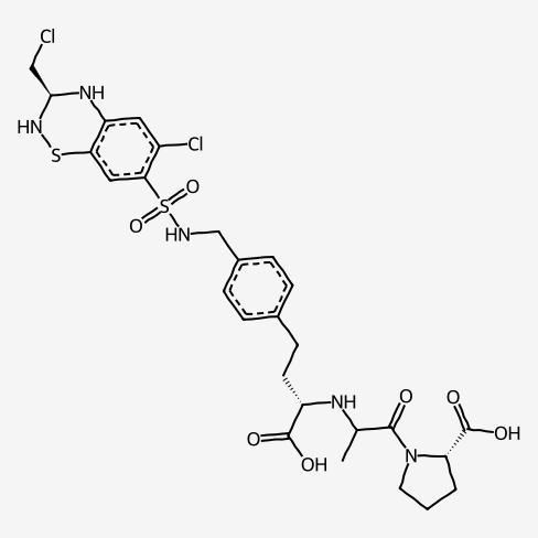 CC(N[C@@H](CCc1ccc(CNS(=O)(=O)c2cc3c(cc2Cl)N[C@H](CCl)NS3)cc1)C(=O)O)C(=O)N1CCC[C@H]1C(=O)O